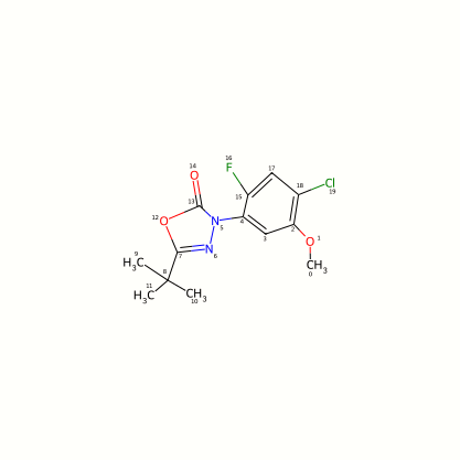 COc1cc(-n2nc(C(C)(C)C)oc2=O)c(F)cc1Cl